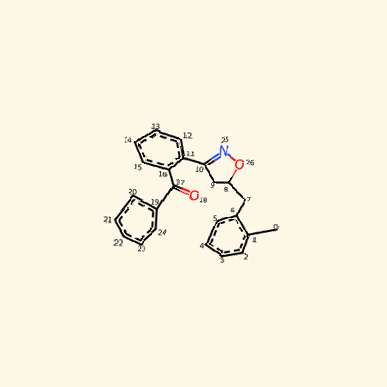 Cc1ccccc1CC1CC(c2ccccc2C(=O)c2ccccc2)=NO1